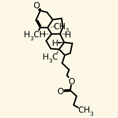 CCCC(=O)OCCCC1CC[C@H]2[C@@H]3CCC4CC(=O)C=C(C)[C@]4(C)[C@@H]3CC[C@]12C